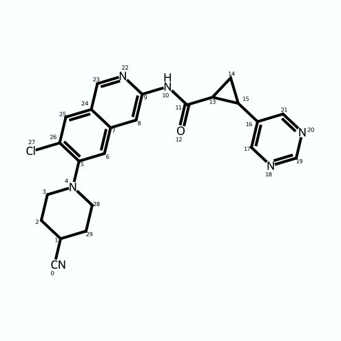 N#CC1CCN(c2cc3cc(NC(=O)C4CC4c4cncnc4)ncc3cc2Cl)CC1